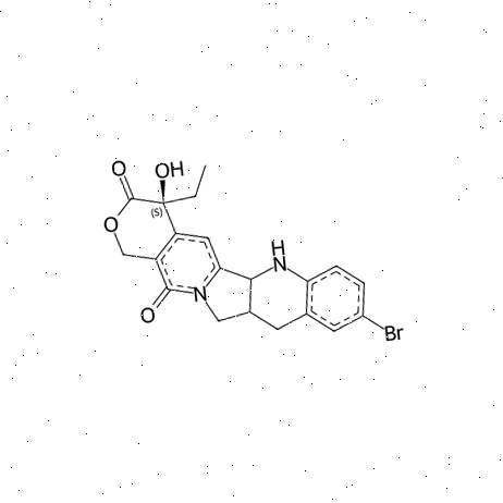 CC[C@@]1(O)C(=O)OCc2c1cc1n(c2=O)CC2Cc3cc(Br)ccc3NC12